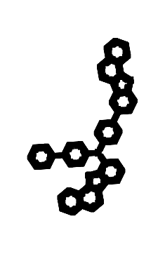 c1ccc(-c2ccc(N(c3ccc(-c4ccc5sc6c7ccccc7ccc6c5c4)cc3)c3cccc4c3oc3c5ccccc5ccc43)cc2)cc1